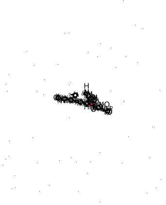 Cc1ccccc1[C@@H]1CN(c2ccc(N3CCOC[C@H]3C)nc2)CCN1C1CC2(CCN(c3ccc(C(=O)NS(=O)(=O)c4ccc(NCC5CCOCC5)c([N+](=O)[O-])c4)c(N4c5cc6cc[nH]c6nc5O[C@H]5COCC[C@@H]54)c3)CC2)C1